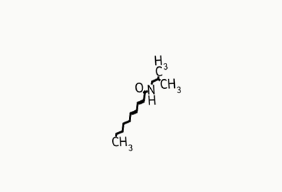 CCCCCC=CC=CC(=O)NCC(C)C